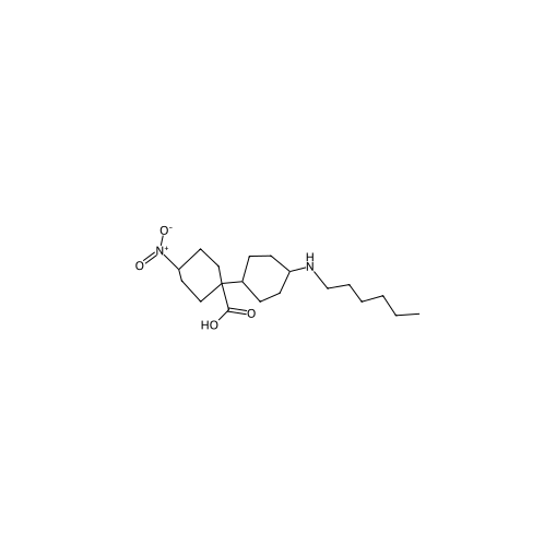 CCCCCCNC1CCC(C2(C(=O)O)CCC([N+](=O)[O-])CC2)CC1